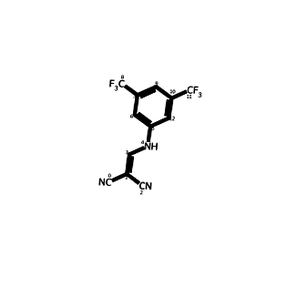 N#CC(C#N)=CNc1cc(C(F)(F)F)cc(C(F)(F)F)c1